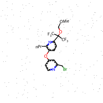 CCCc1nc(C(OCOC)(C(F)(F)F)C(F)(F)F)ccc1Oc1ccnc(CBr)c1